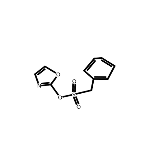 O=S(=O)(Cc1ccccc1)Oc1ncco1